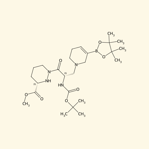 COC(=O)[C@@H]1CCCN(C(=O)[C@H](CN2CCC=C(B3OC(C)(C)C(C)(C)O3)C2)NC(=O)OC(C)(C)C)N1